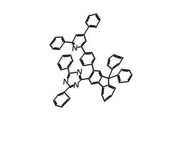 c1ccc(-c2cc(-c3ccccc3)nc(-c3ccc(-c4cc5c(cc4-c4nc(-c6ccccc6)nc(-c6ccccc6)n4)-c4ccccc4C5(c4ccccc4)c4ccccc4)cc3)c2)cc1